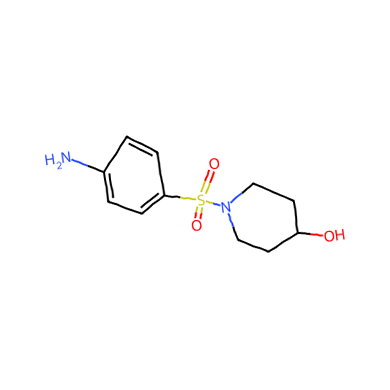 Nc1ccc(S(=O)(=O)N2CCC(O)CC2)cc1